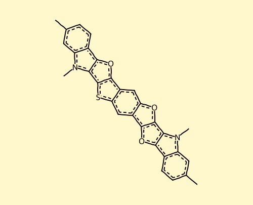 Cc1ccc2c3oc4c5cc6sc7c(oc8c9ccc(C)cc9n(C)c87)c6cc5oc4c3n(C)c2c1